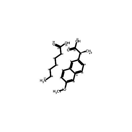 COc1ccc2cc([C@H](C)C(=O)O)ccc2c1.NCCCCCC(=O)O